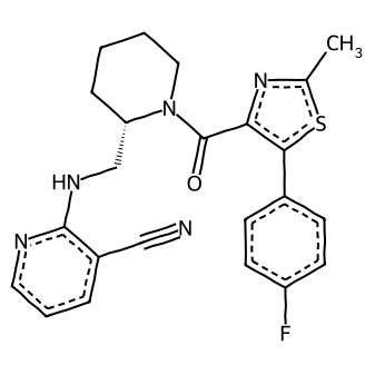 Cc1nc(C(=O)N2CCCC[C@H]2CNc2ncccc2C#N)c(-c2ccc(F)cc2)s1